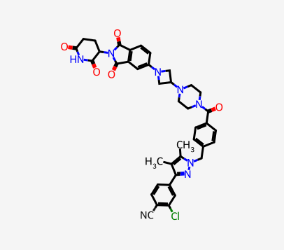 Cc1c(-c2ccc(C#N)c(Cl)c2)nn(Cc2ccc(C(=O)N3CCN(C4CN(c5ccc6c(c5)C(=O)N(C5CCC(=O)NC5=O)C6=O)C4)CC3)cc2)c1C